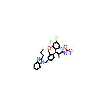 CCCc1nc2ccccc2n1Cc1ccc2c(c1)COc1c(ccc(F)c1F)/C2=C(/C)c1noc(=O)[nH]1